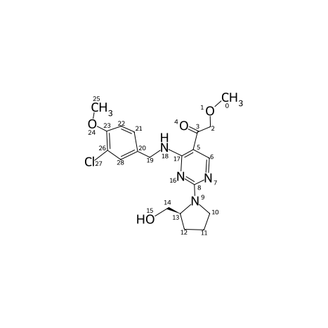 COCC(=O)c1cnc(N2CCC[C@H]2CO)nc1NCc1ccc(OC)c(Cl)c1